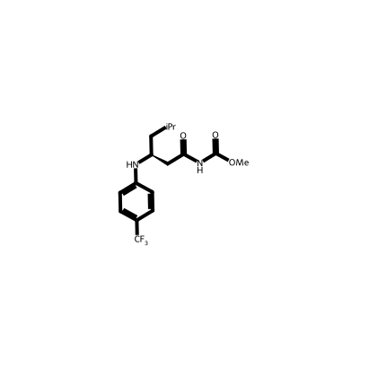 COC(=O)NC(=O)C[C@H](CC(C)C)Nc1ccc(C(F)(F)F)cc1